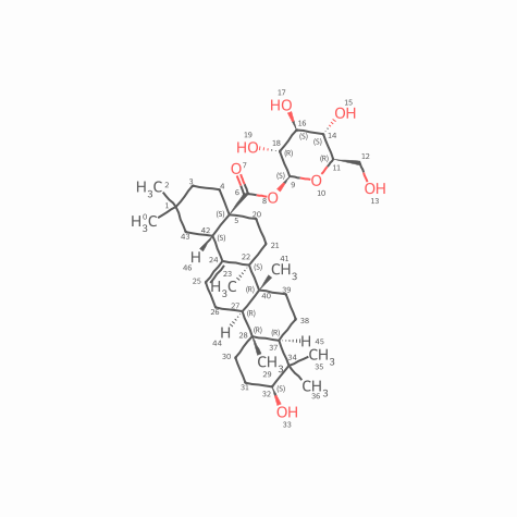 CC1(C)CC[C@]2(C(=O)O[C@@H]3O[C@H](CO)[C@@H](O)[C@H](O)[C@H]3O)CC[C@]3(C)C(=CC[C@@H]4[C@@]5(C)CC[C@H](O)C(C)(C)[C@@H]5CC[C@]43C)[C@@H]2C1